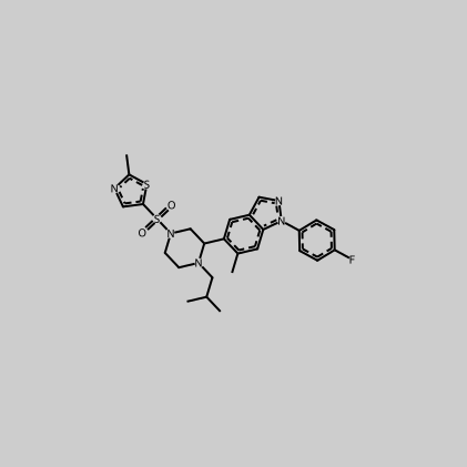 Cc1ncc(S(=O)(=O)N2CCN(CC(C)C)C(c3cc4cnn(-c5ccc(F)cc5)c4cc3C)C2)s1